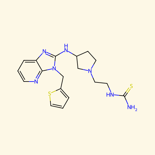 NC(=S)NCCN1CCC(Nc2nc3cccnc3n2Cc2cccs2)C1